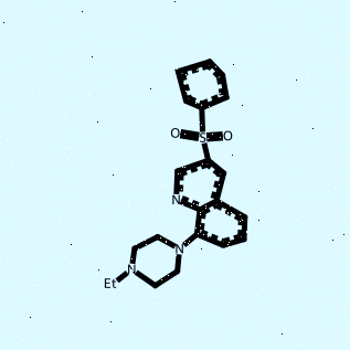 CCN1CCN(c2cccc3cc(S(=O)(=O)c4ccccc4)cnc23)CC1